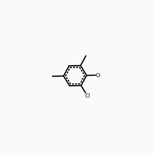 Cc1cc(C)c([O])c(Cl)c1